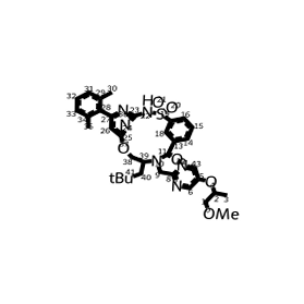 COCC(C)Oc1cnc(CN2C(=O)c3cccc(c3)S(=O)(=O)Nc3nc(cc(-c4c(C)cccc4C)n3)OCC2CC(C)(C)C)nc1